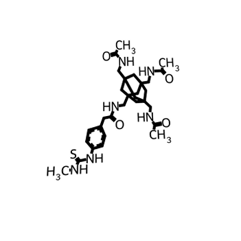 CNC(=S)Nc1ccc(CC(=O)NCC23CC4(CNC(C)=O)CC(CNC(C)=O)(CC(CNC(C)=O)(C4)C2)C3)cc1